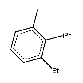 C[CH]c1cccc(C)c1[C](C)C